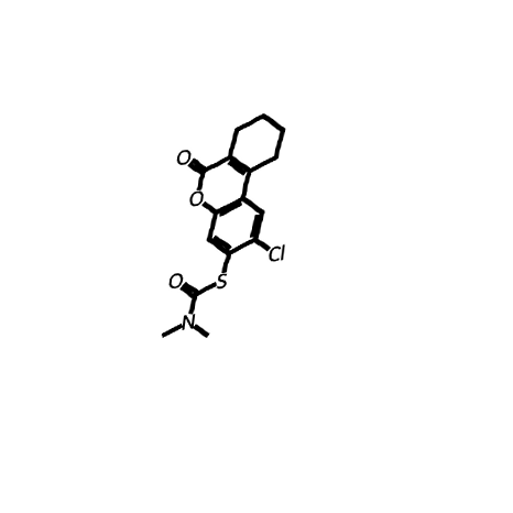 CN(C)C(=O)Sc1cc2oc(=O)c3c(c2cc1Cl)CCCC3